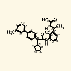 Cc1cncc(-c2ccc(C(C(=O)Nc3cccc(C(C)CC(=O)O)c3C)C3CCCC3)cc2)c1